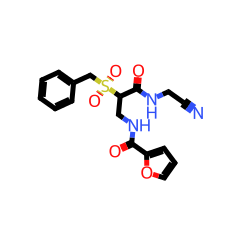 N#CCNC(=O)C(CNC(=O)c1ccco1)S(=O)(=O)Cc1ccccc1